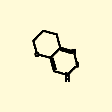 C1=C2OCCCC2=NSN1